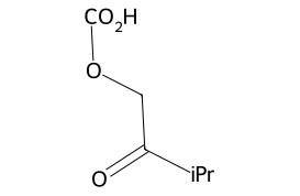 CC(C)C(=O)COC(=O)O